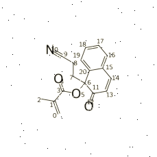 C=C(C)C(=O)OC1(CCC#N)C(=O)C=Cc2ccccc21